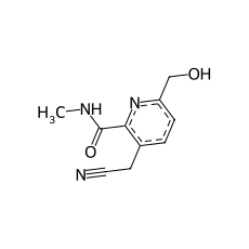 CNC(=O)c1nc(CO)ccc1CC#N